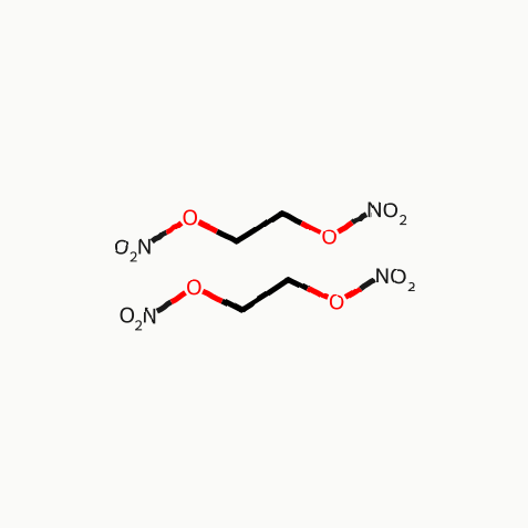 O=[N+]([O-])OCCO[N+](=O)[O-].O=[N+]([O-])OCCO[N+](=O)[O-]